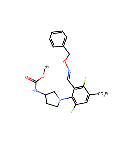 CCOC(=O)c1cc(F)c(N2CCC(NC(=O)OC(C)(C)C)C2)c(C=NOCc2ccccc2)c1F